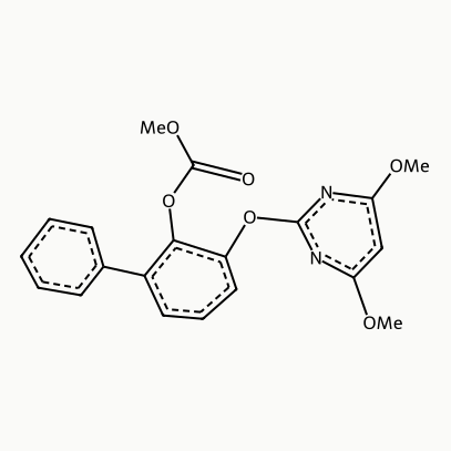 COC(=O)Oc1c(Oc2nc(OC)cc(OC)n2)cccc1-c1ccccc1